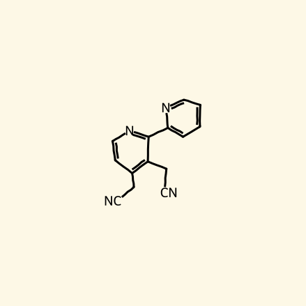 N#CCc1ccnc(-c2ccccn2)c1CC#N